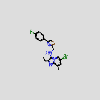 CCc1nc2c(C)cc(Br)cn2c1NCc1nc(-c2ccc(F)cc2)cs1